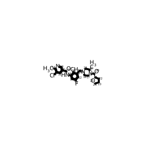 Cc1ncc(C(=O)Nc2cc(F)cc(CN3CCN(C(=O)[C@H]4CCCO4)[C@@H](C)C3)c2C)cc1Cl